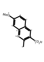 COc1ccc2cc(C(=O)O)c(C)nc2c1